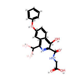 BC(B)c1nc(C(=O)NCC(=O)O)c(O)c2ccc(Oc3ccccc3)cc12